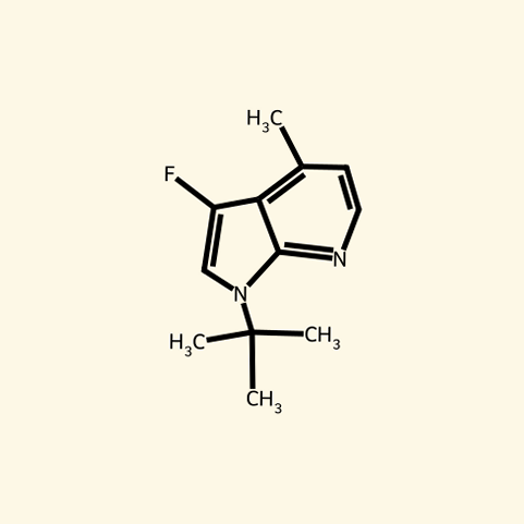 Cc1ccnc2c1c(F)cn2C(C)(C)C